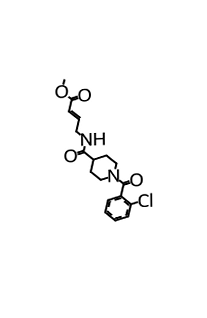 COC(=O)/C=C/CNC(=O)C1CCN(C(=O)c2ccccc2Cl)CC1